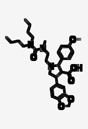 CCCCN(CCCC)C(=O)N(C)CCN1CC(c2ccc3c(c2)OCO3)C(C(=O)O)C1c1ccc(OC)cc1